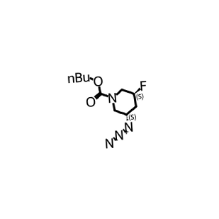 CCCCOC(=O)N1C[C@@H](F)C[C@H](N=[N+]=[N-])C1